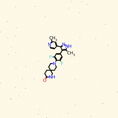 Cc1cc(-c2n[nH]c(C)c2-c2cc(F)c(N3CCC4(CCC(=O)NC4)CC3)c(F)c2)ccn1